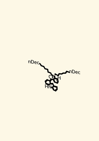 CCCCCCCCCCCCCCCCCCN(CCCCCCCCCCCCCCCCCC)c1ccccc1C(C(=O)O)=c1cccc2c1=Cc1ccccc1N2